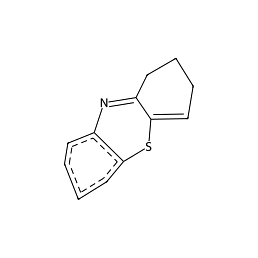 C1=C2Sc3ccccc3N=C2CCC1